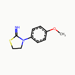 COc1ccc(N2CCSC2=N)cc1